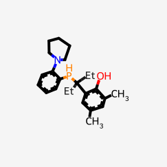 CCC(CC)(Pc1ccccc1N1CCCCC1)c1cc(C)cc(C)c1O